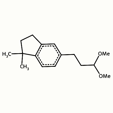 COC(CCc1ccc2c(c1)CCC2(C)C)OC